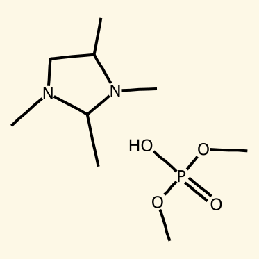 CC1CN(C)C(C)N1C.COP(=O)(O)OC